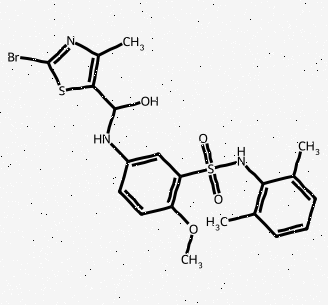 COc1ccc(NC(O)c2sc(Br)nc2C)cc1S(=O)(=O)Nc1c(C)cccc1C